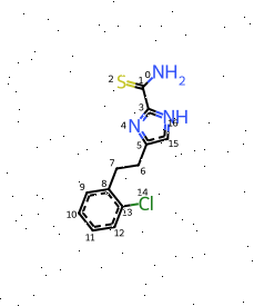 NC(=S)c1nc(CCc2ccccc2Cl)c[nH]1